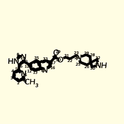 Cc1cccc(-c2[nH]cnc2-c2ccc3ncc(C(=O)OCCCN4CCC5(CC4)CNC5)cc3c2)n1